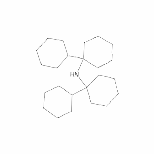 C1CCC(C2(NC3(C4CCCCC4)CCCCC3)CCCCC2)CC1